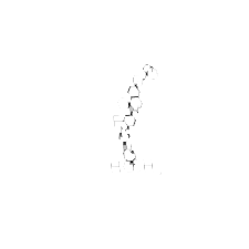 CC1(O)CCN(C2CCN(c3ccc(N4CCc5cc(OCC6CCCO6)ccc5C4=O)cc3F)C2)CC1